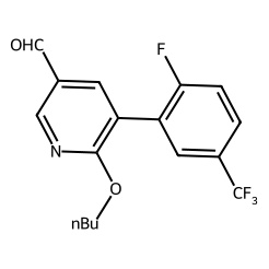 CCCCOc1ncc(C=O)cc1-c1cc(C(F)(F)F)ccc1F